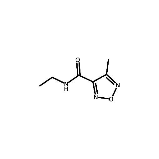 CCNC(=O)c1nonc1C